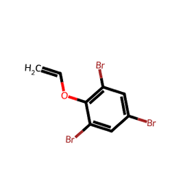 C=COc1c(Br)cc(Br)cc1Br